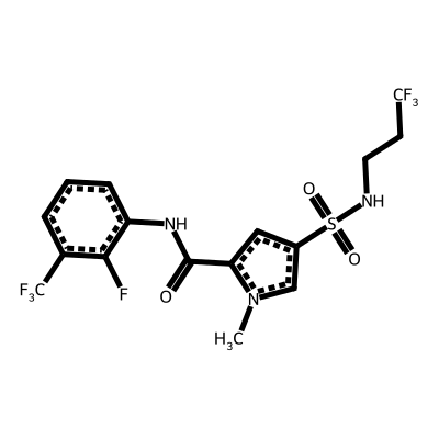 Cn1cc(S(=O)(=O)NCCC(F)(F)F)cc1C(=O)Nc1cccc(C(F)(F)F)c1F